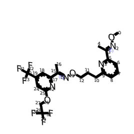 CO/N=C(\C)c1cccc(CCCO/N=C(\C)c2cc(C(F)(F)F)cc(OCC(F)(F)F)n2)n1